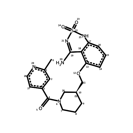 Cc1cc(C(=O)N2CCC[C@H](COc3cccc4c3C(N)=NS(=O)(=O)N4)C2)ccn1